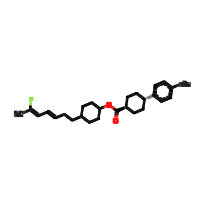 CCCCc1ccc([C@H]2CC[C@H](C(=O)OC3CCC(CC/C=C/C=C(F)C#N)CC3)CC2)cc1